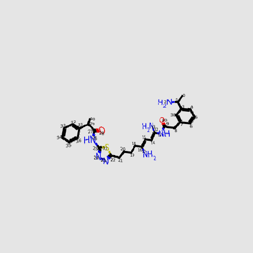 CC(N)c1cccc(CC(=O)N/C(N)=C/C=C(\N)CCCCc2nnc(NC(=O)C(C)c3ccccc3)s2)c1